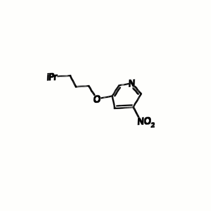 CC(C)CCCOc1cncc([N+](=O)[O-])c1